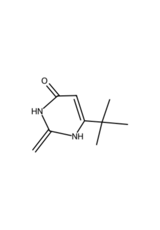 C=C1NC(=O)C=C(C(C)(C)C)N1